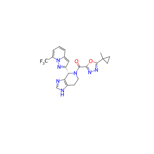 CC1(c2nnc(C(=O)N3CCc4[nH]cnc4[C@@H]3c3cc4cccc(C(F)(F)F)n4n3)o2)CC1